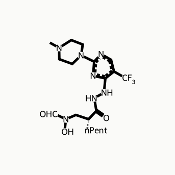 CCCCC[C@H](CN(O)C=O)C(=O)NNc1nc(N2CCN(C)CC2)ncc1C(F)(F)F